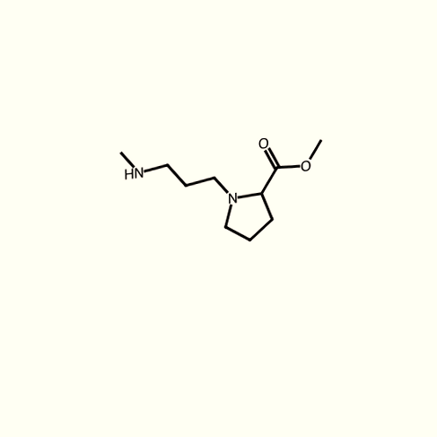 CNCCCN1CCCC1C(=O)OC